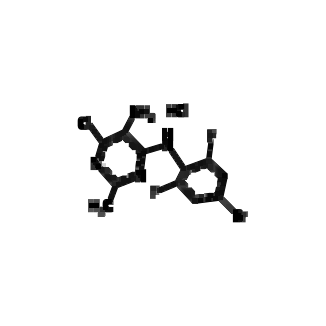 Cc1nc(Cl)c(N)c(Nc2c(F)cc(Br)cc2F)n1.Cl